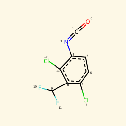 O=C=Nc1ccc(Cl)c(C(F)F)c1Cl